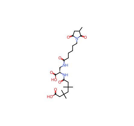 CC1CC(=O)N(CCCCCC(=O)NC[C@@H](NC(=O)CC(C)(C)CC(C)(C)CC(=O)O)C(=O)O)C1=O